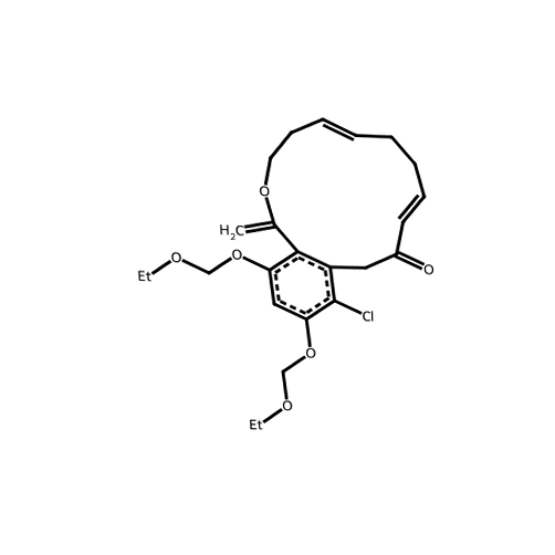 C=C1OCC/C=C/CC/C=C/C(=O)Cc2c(Cl)c(OCOCC)cc(OCOCC)c21